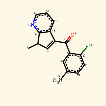 CC1C=C(C(=O)c2cc([N+](=O)[O-])ccc2F)c2cccnc21